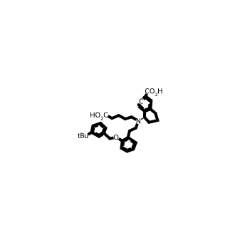 CC(C)(C)c1cccc(COc2ccccc2CCN(CCCCC(=O)O)[C@H]2CCCc3cc(C(=O)O)ccc32)c1